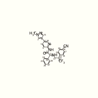 Cn1cc(-c2ccc(NC(=O)C(NCC(c3ccc(C#N)cc3)C(F)(F)F)c3ccccc3)nc2)cn1